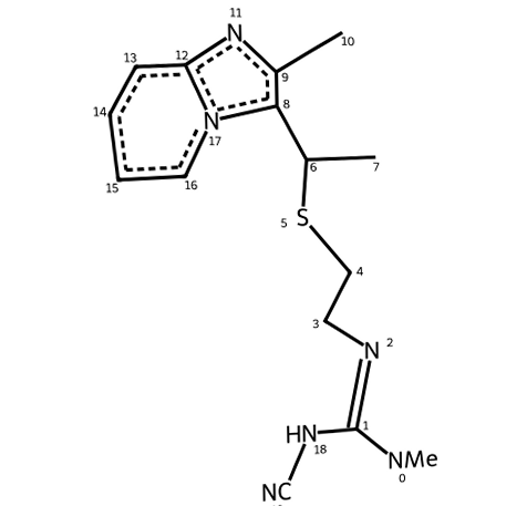 CN/C(=N/CCSC(C)c1c(C)nc2ccccn12)NC#N